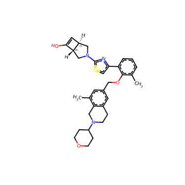 Cc1cc(COc2c(C)cccc2-c2csc(N3C[C@@H]4C(O)=C[C@H]4C3)n2)cc2c1CN(C1CCOCC1)CC2